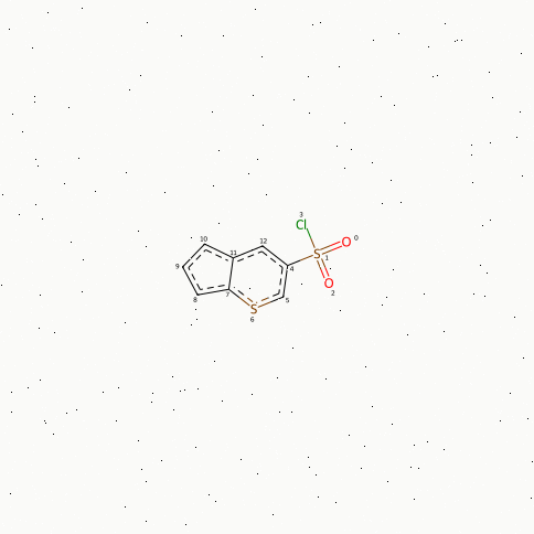 O=S(=O)(Cl)c1csc2cccc-2c1